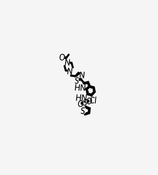 CC(=O)N1CCN(Cc2cnc(-c3cc4ccc(Cl)c(NS(=O)(=O)c5cccs5)c4[nH]3)s2)CC1